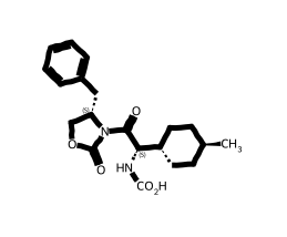 C[C@H]1CC[C@H]([C@H](NC(=O)O)C(=O)N2C(=O)OC[C@@H]2Cc2ccccc2)CC1